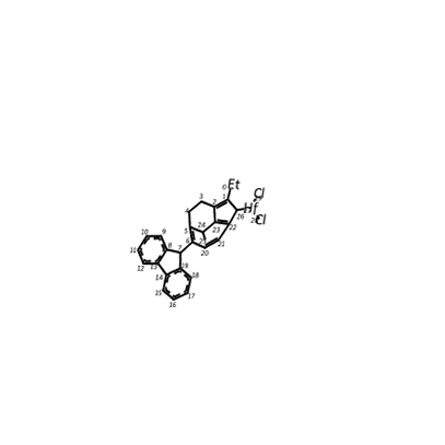 CCC1=C2CCC3=C(C4c5ccccc5-c5ccccc54)C=CC(=C2C3C)[CH]1[Hf]([Cl])[Cl]